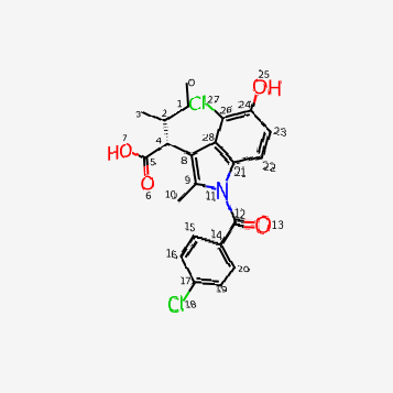 CCC(C)[C@@H](C(=O)O)c1c(C)n(C(=O)c2ccc(Cl)cc2)c2ccc(O)c(Cl)c12